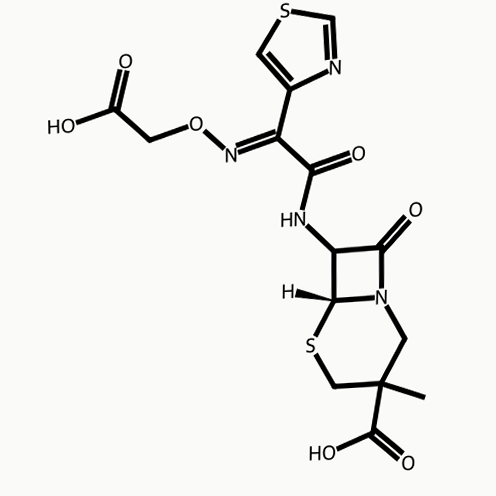 CC1(C(=O)O)CS[C@@H]2C(NC(=O)C(=NOCC(=O)O)c3cscn3)C(=O)N2C1